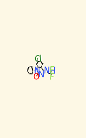 O=c1nc(NCC(F)F)c2ccc(Cl)cc2n1-c1ccccc1